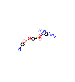 N#Cc1ccc(OCCCOc2ccc(/C=C/C(=O)OCCc3ccc(N)cc3N)cc2)cc1